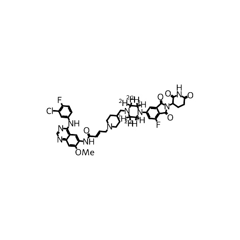 [2H]C1([2H])N(CC2CCN(C/C=C/C(=O)Nc3cc4c(Nc5ccc(F)c(Cl)c5)ncnc4cc3OC)CC2)C([2H])([2H])C([2H])([2H])N(c2cc(F)c3c(c2)C(=O)N(C2CCC(=O)NC2=O)C3=O)C1([2H])[2H]